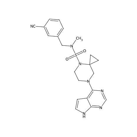 CN(Cc1cccc(C#N)c1)S(=O)(=O)N1CCN(c2ncnc3[nH]ccc23)CC12CC2